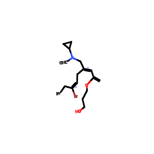 C=C(/C=C(\C/C=C(/Br)CC(C)C)CN(C=O)C1CC1)OCCCO